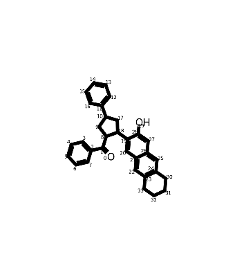 O=C(c1ccccc1)C1CC(c2ccccc2)CC1c1cc2cc3c(cc2cc1O)CCCC3